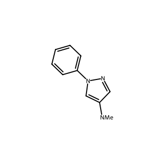 CNc1cnn(-c2ccccc2)c1